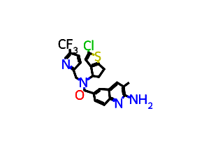 Cc1cc2cc(C(=O)N(Cc3ccc(C(F)(F)F)cn3)C3CCc4sc(Cl)cc43)ccc2nc1N